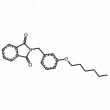 CCCCCCOc1cccc(CN2C(=O)c3ccccc3C2=O)c1